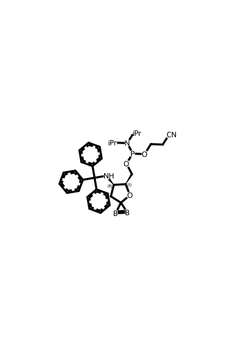 CC(C)N(C(C)C)P(OCCC#N)OC[C@H]1OC2(B=B2)C[C@H]1NC(c1ccccc1)(c1ccccc1)c1ccccc1